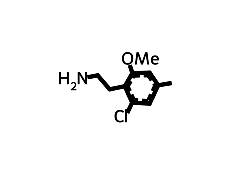 COc1cc(C)cc(Cl)c1CCN